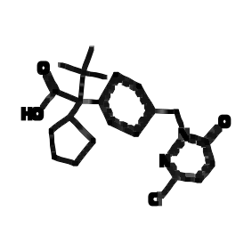 CC(C)(C)C(C(=O)O)(c1ccc(Cn2nc(Cl)ccc2=O)cc1)C1CCCC1